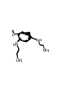 COc1ccc(NCCO)cc1NCCO